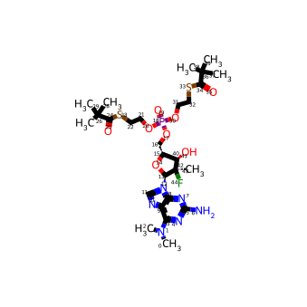 CN(C)c1nc(N)nc2c1ncn2[C@@H]1O[C@H](COP(=O)(OCCSC(=O)C(C)(C)C)OCCSC(=O)C(C)(C)C)[C@@H](O)[C@@]1(C)F